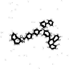 c1ccc(-c2cccc(N(c3ccc(-c4ccc(-c5nc6ccc7ccccc7c6o5)cc4)cc3)c3ccc(-c4cc5ccccc5c5ccccc45)cc3)c2)cc1